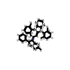 Cc1nc2/c(=C\C=C3N(c4c(C)cccc4C)c4nccnc4N3c3c(C)cccc3C)c(-c3ccccc3)nn2n1